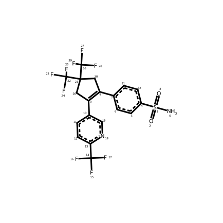 NS(=O)(=O)c1ccc(C2=C(c3ccc(C(F)(F)F)nc3)CC(C(F)(F)F)(C(F)(F)F)C2)cc1